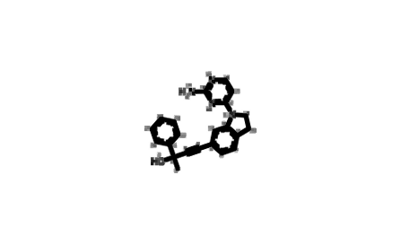 CC(O)(C#Cc1ccc2c(c1)N(c1ccnc(N)n1)CC2)c1ccccc1